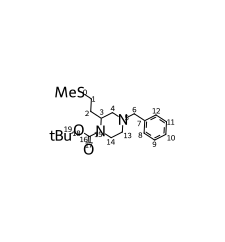 CSCCC1CN(Cc2ccccc2)CCN1C(=O)OC(C)(C)C